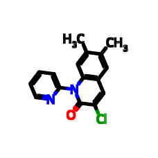 Cc1cc2cc(Cl)c(=O)n(-c3ccccn3)c2cc1C